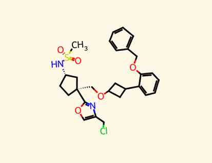 CS(=O)(=O)N[C@H]1CC[C@](COC2CC(c3ccccc3OCc3ccccc3)C2)(c2nc(CCl)co2)C1